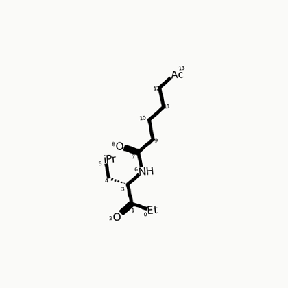 CCC(=O)[C@H](CC(C)C)NC(=O)CCCCC(C)=O